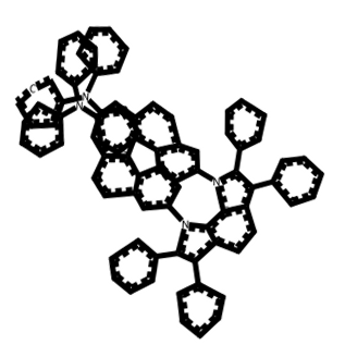 c1ccc(-c2c(-c3ccccc3)n(-c3ccc4c(ccc5cc(N(c6ccccc6)c6ccccc6)ccc54)c3)c3c2ccc2c(-c4ccccc4)c(-c4ccccc4)n(-c4ccc5c(ccc6cc(N(c7ccccc7)c7ccccc7)ccc65)c4)c23)cc1